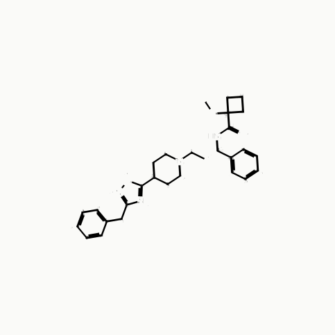 COC1(C(=O)N[C@@H](CCN2CCC(c3nc(Cc4ccccc4)no3)CC2)c2ccccc2)CCC1